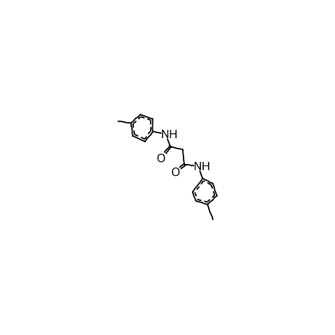 Cc1ccc(NC(=O)CC(=O)Nc2ccc(C)cc2)cc1